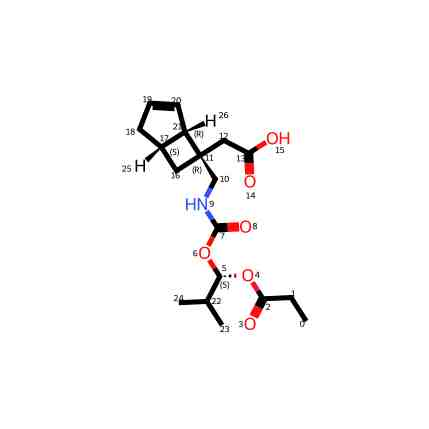 CCC(=O)O[C@@H](OC(=O)NC[C@@]1(CC(=O)O)C[C@@H]2CC=C[C@@H]21)C(C)C